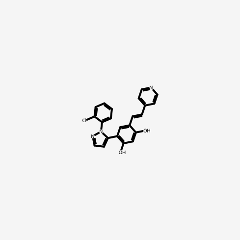 Oc1cc(O)c(-c2ccnn2-c2ccccc2Cl)cc1C=Cc1ccncc1